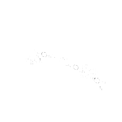 CC1(C)[C@H](NC(=O)c2ccc(NCCNC3CCC4(CC3)CN(c3ccc5c(c3)C(=O)N(C3CCC(=O)NC3=O)C5=O)C4)cc2)C(C)(C)[C@H]1Oc1ccc(C#N)c(Cl)c1